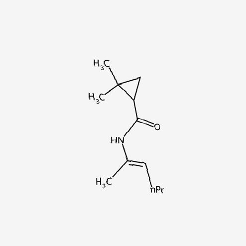 CCCC=C(C)NC(=O)C1CC1(C)C